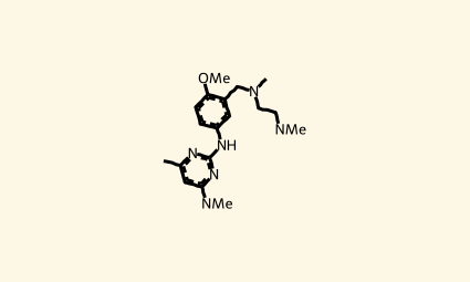 CNCCN(C)Cc1cc(Nc2nc(C)cc(NC)n2)ccc1OC